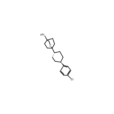 CCCC12CCC([C@H]3CC[C@H](c4ccc(CC)cc4)CC3)(CC1)CC2